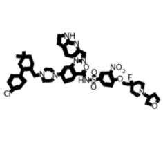 CC1(C)CCC(CN2CCN(c3ccc(C(=O)NS(=O)(=O)c4ccc(OCC5(F)CCN(C6CCOC6)CC5)c([N+](=O)[O-])c4)c(-n4ncc5nc6[nH]ccc6cc54)c3)CC2)=C(c2ccc(Cl)cc2)C1